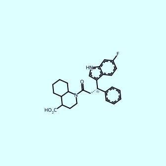 O=C(O)C1CCN(C(=O)C[C@@H](c2ccccc2)c2c[nH]c3cc(F)ccc23)C2CCCCC12